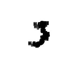 COc1ccc(CN2CCN(c3ccc(-c4cc(-c5cnn(C6CCN(C(=O)O)C(C(C)(C)C)C6)c5)cn5ncc(C#N)c45)cn3)CC2)cn1